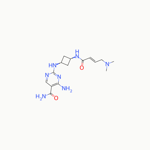 CN(C)C/C=C/C(=O)N[C@H]1C[C@@H](Nc2ncc(C(N)=O)c(N)n2)C1